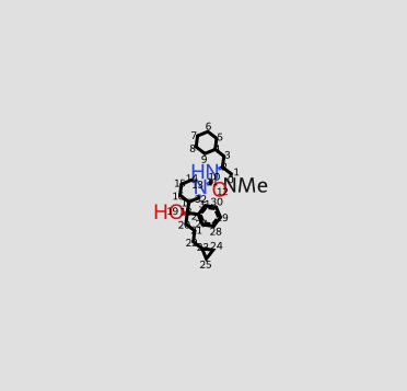 CNCC(CC1CCCCC1)NC(=O)N1CCCC(C(O)(CCCC2CC2)c2ccccc2)C1